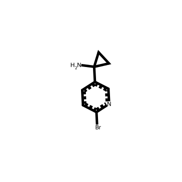 NC1(c2ccc(Br)nc2)CC1